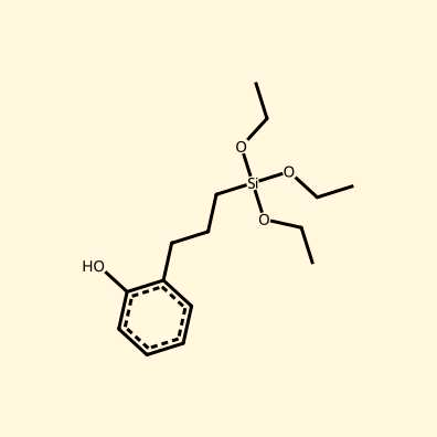 CCO[Si](CCCc1ccccc1O)(OCC)OCC